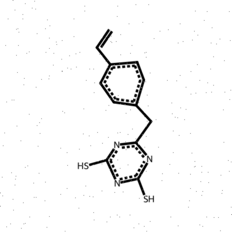 C=Cc1ccc(Cc2nc(S)nc(S)n2)cc1